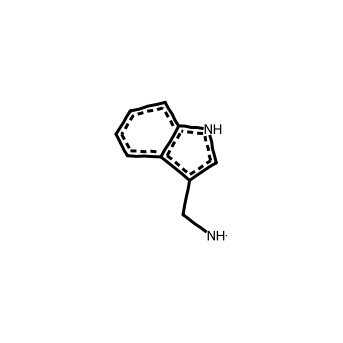 [NH]Cc1c[nH]c2ccccc12